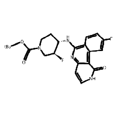 CC(C)(C)OC(=O)N1CC[C@H](Nc2nc3cc[nH]c(=O)c3c3cc(F)ccc23)[C@@H](F)C1